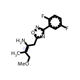 COC/C(C)=C(/N)Cc1nc(-c2cc(F)ccc2F)no1